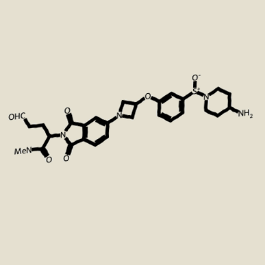 CNC(=O)C(CCC=O)N1C(=O)c2ccc(N3CC(Oc4cccc([S+]([O-])N5CCC(N)CC5)c4)C3)cc2C1=O